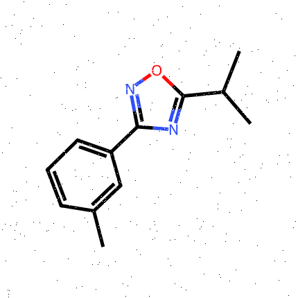 Cc1cccc(-c2noc(C(C)C)n2)c1